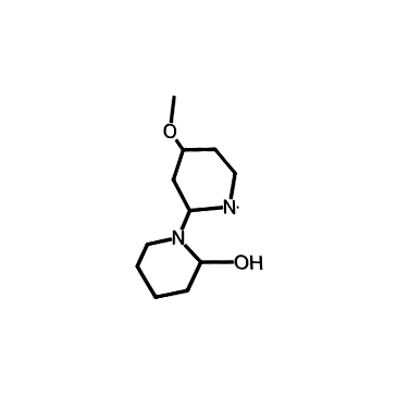 COC1CC[N]C(N2CCCCC2O)C1